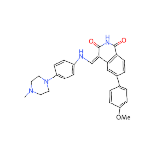 COc1ccc(-c2ccc3c(c2)C(=CNc2ccc(N4CCN(C)CC4)cc2)C(=O)NC3=O)cc1